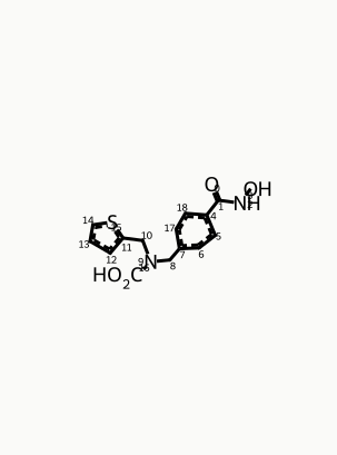 O=C(NO)c1ccc(CN(Cc2cccs2)C(=O)O)cc1